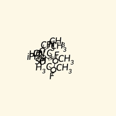 Cc1cc(-c2c(C)cc(F)cc2C)cc([C@@H](CCC(=O)[C@H](C(S)C(C)C)n2cc(CCN(C)C)c(C(F)(F)F)cc2=O)CC(=O)O)c1F